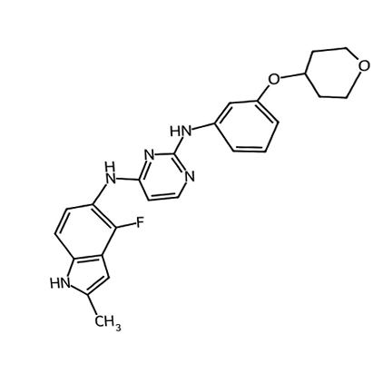 Cc1cc2c(F)c(Nc3ccnc(Nc4cccc(OC5CCOCC5)c4)n3)ccc2[nH]1